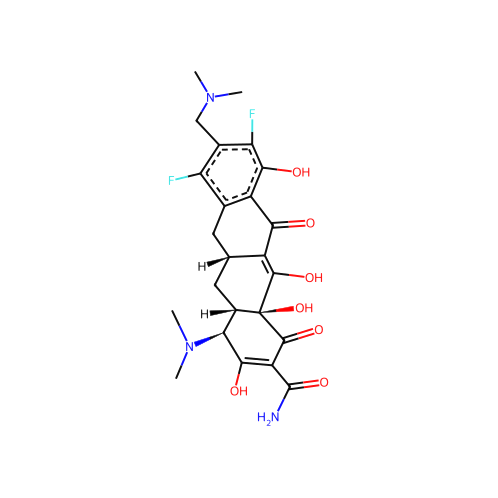 CN(C)Cc1c(F)c(O)c2c(c1F)C[C@H]1C[C@H]3[C@H](N(C)C)C(O)=C(C(N)=O)C(=O)[C@@]3(O)C(O)=C1C2=O